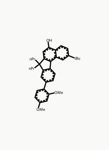 CCCC1(CCC)c2cc(-c3ccc(OC)cc3OC)ccc2-c2c1cc(O)c1ccc(C(C)(C)C)cc21